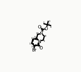 CC(C)(C)OC(=O)N1CCn2c(ccc(Br)c2=O)C1